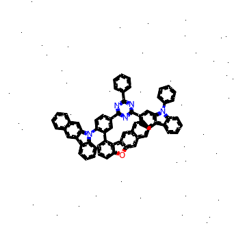 c1ccc(-c2nc(-c3ccc(-n4c5ccccc5c5cc6ccccc6cc54)c(-c4cccc5oc6cc7ccccc7cc6c45)c3)nc(-c3ccc4c5ccccc5n(-c5ccccc5)c4c3)n2)cc1